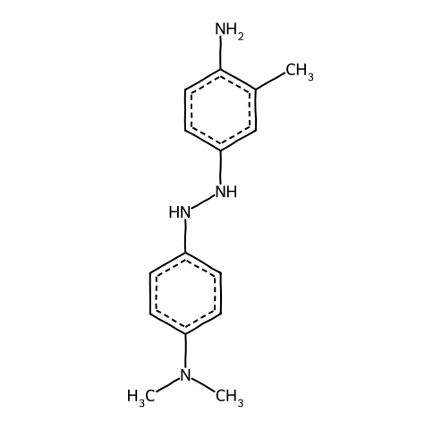 Cc1cc(NNc2ccc(N(C)C)cc2)ccc1N